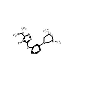 CCn1c(Oc2cccc(N3C[C@@H](C)O[C@@H](C)C3)c2)nnc1[C@@H](C)N